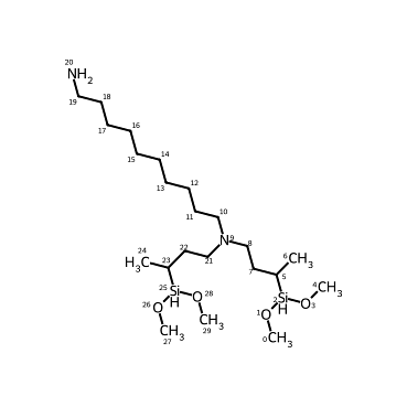 CO[SiH](OC)C(C)CCN(CCCCCCCCCCN)CCC(C)[SiH](OC)OC